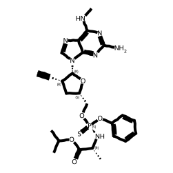 C#C[C@H]1C[C@@H](CO[P@@](=S)(N[C@H](C)C(=O)OC(C)C)Oc2ccccc2)O[C@H]1n1cnc2c(NC)nc(N)nc21